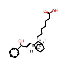 O=C(O)CCCCCC[C@H]1[C@H]2CC[C@H](C2)[C@H]1C=CC(O)c1ccccc1